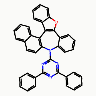 c1ccc(-c2nc(-c3ccccc3)nc(N3c4ccccc4-c4oc5ccccc5c4-c4c3ccc3ccccc43)n2)cc1